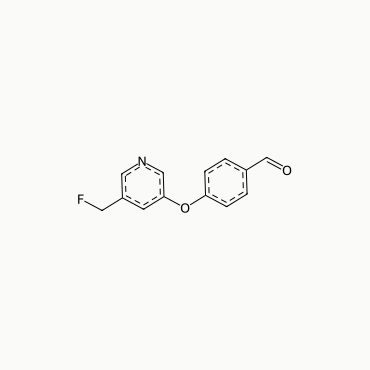 O=Cc1ccc(Oc2cncc(CF)c2)cc1